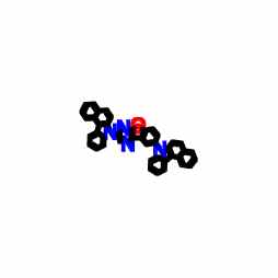 c1ccc2c(c1)ccc1c2c2ccccc2n1-c1ccc2oc3nc(-n4c5ccccc5c5c6ccccc6ccc54)cnc3c2c1